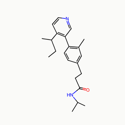 CCC(C)c1ccncc1-c1ccc(CCC(=O)NC(C)C)cc1C